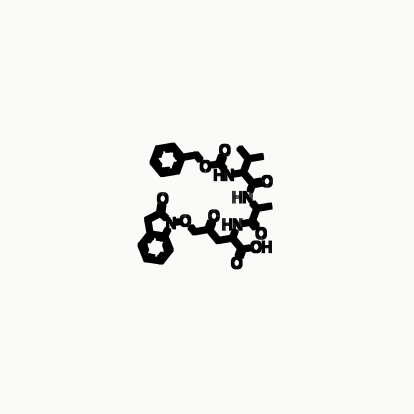 CC(NC(=O)C(NC(=O)OCc1ccccc1)C(C)C)C(=O)NC(CC(=O)CON1C(=O)Cc2ccccc21)C(=O)O